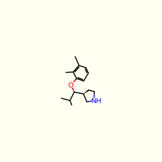 Cc1cccc(O[C@H](C(C)C)[C@H]2CCNC2)c1C